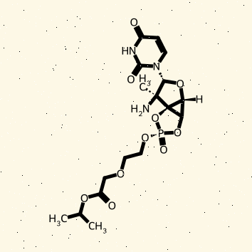 CC(C)OC(=O)COCCO[P@@]1(=O)OC2[C@H]3O[C@@H](n4ccc(=O)[nH]c4=O)[C@](C)(N)[C@@]23O1